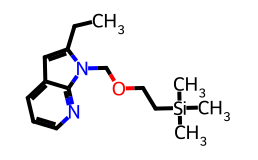 CCc1cc2cccnc2n1COCC[Si](C)(C)C